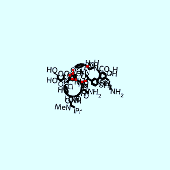 CN[C@H](CC(C)C)C(=O)NC1C(=O)C[C@@H](CC(N)=O)C(=O)N[C@H]2C(=O)C[C@H]3C(=O)N[C@H](C(=O)N[C@H](C(=O)O)c4cc(O)c(CNCCN)c(O)c4-c4cc3ccc4O)[C@H](O)c3ccc(c(Cl)c3)Oc3cc2cc(c3O[C@@H]2O[C@H](CO)[C@@H](O)[C@H](O)[C@H]2O[C@H]2C[C@](C)(N)[C@H](O)[C@H](C)O2)Oc2ccc(cc2Cl)[C@H]1O